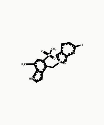 Cc1cc(S(C)(=O)=O)c(Cn2cc3ccc(Cl)nc3n2)c2cc[nH]c12